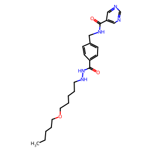 CCCCCOCCCCCNNC(=O)c1ccc(CNC(=O)c2cncnc2)cc1